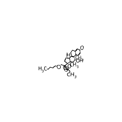 CCCCCOCC(=O)[C@@]1(OC(=O)CC)CC[C@H]2C3=C(C(O)C[C@@]21C)[C@@]1(C)C=CC(=O)C=C1CC3